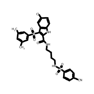 Cc1cc(C)cc(S(=O)(=O)c2c(C(=O)NCCCCNS(=O)(=O)c3ccc(C#N)cc3)[nH]c3ccc(Cl)cc23)c1